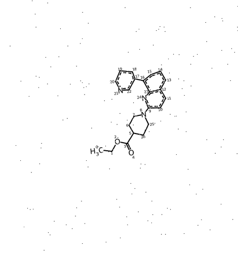 CCOC(=O)C1CCN(c2ccc3cccc(-c4cccnc4)c3n2)CC1